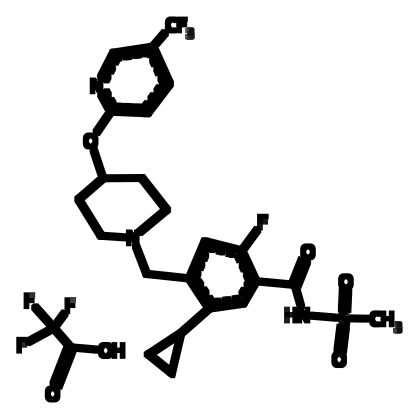 CS(=O)(=O)NC(=O)c1cc(C2CC2)c(CN2CCC(Oc3ccc(C(F)(F)F)cn3)CC2)cc1F.O=C(O)C(F)(F)F